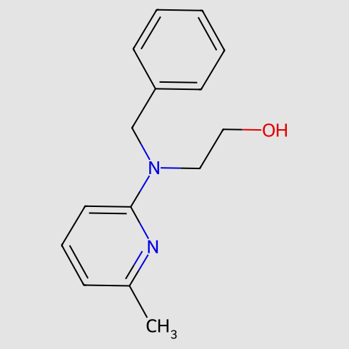 Cc1cccc(N(CCO)Cc2ccccc2)n1